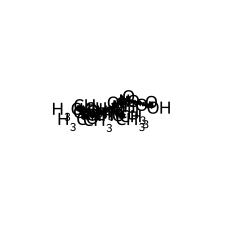 Cc1c(C)c(S(=O)(=O)NC(=N)NCCC[C@H](NC(=O)OC(C)(C)C)C(=O)N[C@@H]2CCN(C(=O)COCCOCCC(=O)O)C2)c(C)c2c1OC(C)(C)C2